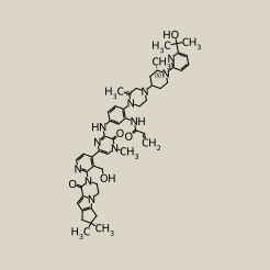 C=CC(=O)Nc1cc(Nc2nc(-c3ccnc(N4CCn5c(cc6c5CC(C)(C)C6)C4=O)c3CO)cn(C)c2=O)ccc1N1CCN(C2CCN(c3cccc(C(C)(C)O)n3)[C@@H](C)C2)C[C@@H]1C